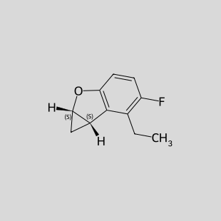 CCc1c(F)ccc2c1[C@@H]1C[C@@H]1O2